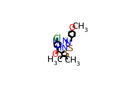 COc1ccc(CN(N)C(=S)Nc2sc(C)c(C)c2C(=O)c2ccc(Cl)cc2)cc1